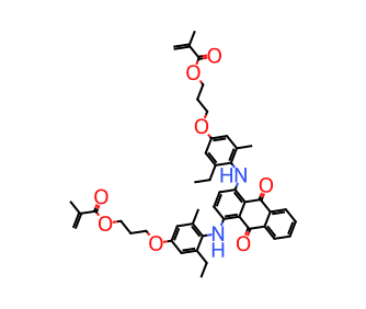 C=C(C)C(=O)OCCCOc1cc(C)c(Nc2ccc(Nc3c(C)cc(OCCCOC(=O)C(=C)C)cc3CC)c3c2C(=O)c2ccccc2C3=O)c(CC)c1